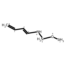 C=C/C=C/N[SiH2]O[SiH3]